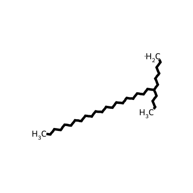 [CH2]CCCCCC(CCCC)CCCCCCCCCCCCCCCCCCCCC